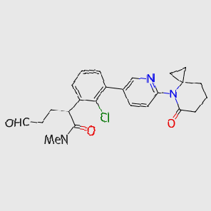 CNC(=O)C(CCC=O)c1cccc(-c2ccc(N3C(=O)CCCC34CC4)nc2)c1Cl